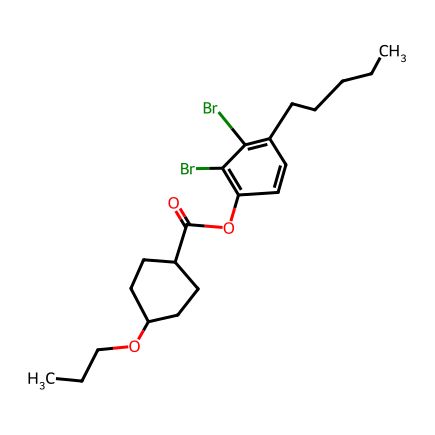 CCCCCc1ccc(OC(=O)C2CCC(OCCC)CC2)c(Br)c1Br